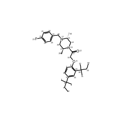 CCC(C)(C)c1ccc(OCC(=O)N2C[C@@H](C)N(Cc3ccc(F)cc3)C[C@@H]2C)c(C(C)(C)CC)c1